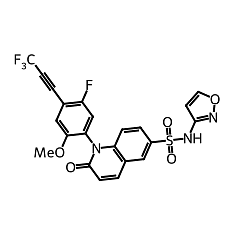 COc1cc(C#CC(F)(F)F)c(F)cc1-n1c(=O)ccc2cc(S(=O)(=O)Nc3ccon3)ccc21